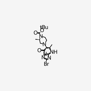 Cc1[nH]c2nc(Br)nn2c(=O)c1N1CCN(C(=O)OC(C)(C)C)[C@H](C)C1